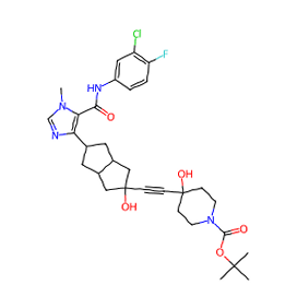 Cn1cnc(C2CC3CC(O)(C#CC4(O)CCN(C(=O)OC(C)(C)C)CC4)CC3C2)c1C(=O)Nc1ccc(F)c(Cl)c1